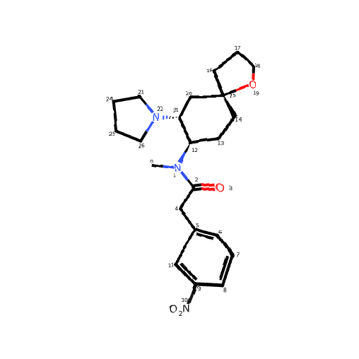 CN(C(=O)Cc1cccc([N+](=O)[O-])c1)[C@@H]1CC[C@]2(CCCO2)C[C@H]1N1CCCC1